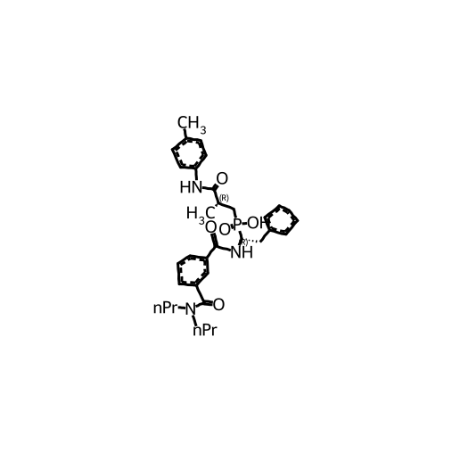 CCCN(CCC)C(=O)c1cccc(C(=O)N[C@@H](Cc2ccccc2)P(=O)(O)C[C@H](C)C(=O)Nc2ccc(C)cc2)c1